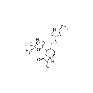 Cc1nsc(SCC2=C(C(=O)OC(C)(C)C)N3C(=O)C(=O)[C@H]3SC2)n1